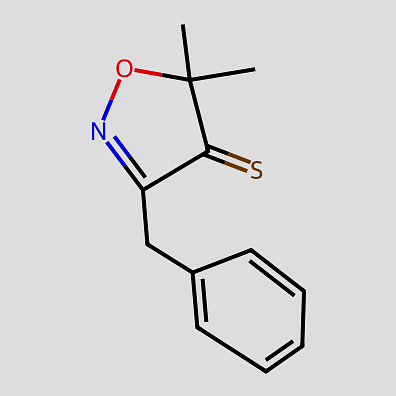 CC1(C)ON=C(Cc2ccccc2)C1=S